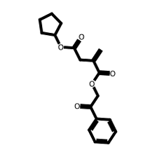 C=C(CC(=O)OC1CCCC1)C(=O)OCC(=O)c1ccccc1